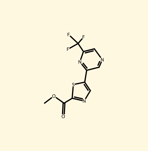 COC(=O)c1ncc(-c2cncc(C(F)(F)F)n2)s1